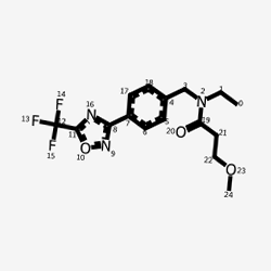 CCN(Cc1ccc(-c2noc(C(F)(F)F)n2)cc1)C(=O)CCOC